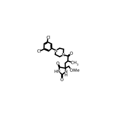 COCC1(CC(C)C(=O)N2CCN(c3cc(Cl)cc(Cl)c3)CC2)NC(=O)NC1=O